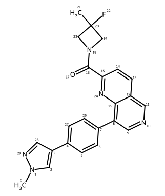 Cn1cc(-c2ccc(-c3cncc4ccc(C(=O)N5CC(C)(F)C5)nc34)cc2)cn1